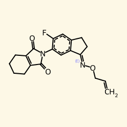 C=CCO/N=C1\CCc2cc(F)c(N3C(=O)C4=C(CCCC4)C3=O)cc21